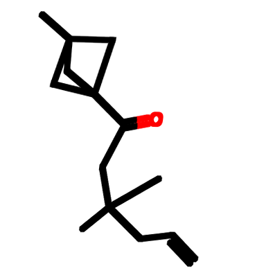 C=CCC(C)(C)CC(=O)C12CC(C)(C1)C2